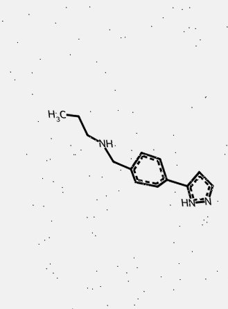 CCCNCc1ccc(-c2ccn[nH]2)cc1